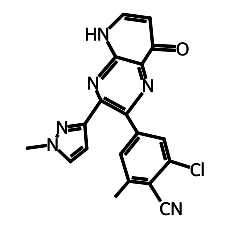 Cc1cc(-c2nc3c(=O)cc[nH]c3nc2-c2ccn(C)n2)cc(Cl)c1C#N